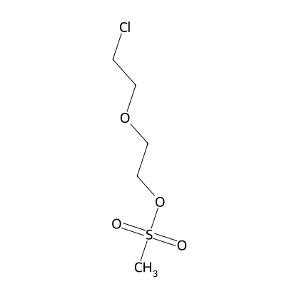 CS(=O)(=O)OCCOCCCl